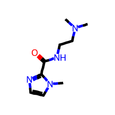 CN(C)CCNC(=O)c1nccn1C